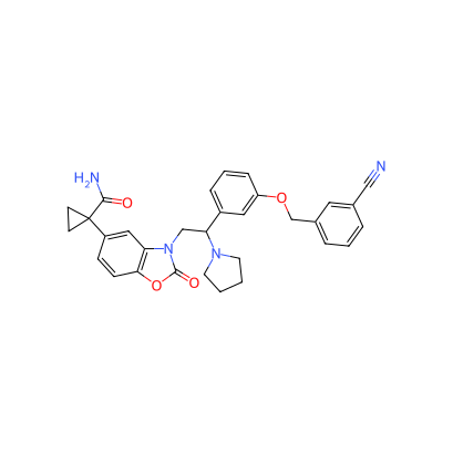 N#Cc1cccc(COc2cccc(C(Cn3c(=O)oc4ccc(C5(C(N)=O)CC5)cc43)N3CCCC3)c2)c1